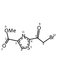 COC(=O)c1csc(C(=O)CBr)n1